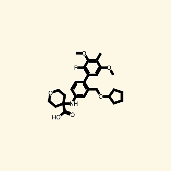 COc1cc(-c2ccc(NC3(C(=O)O)CCOCC3)cc2COC2CCCC2)c(F)c(OC)c1C